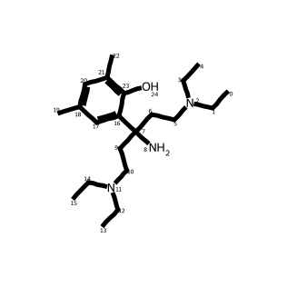 CCN(CC)CCC(N)(CCN(CC)CC)c1cc(C)cc(C)c1O